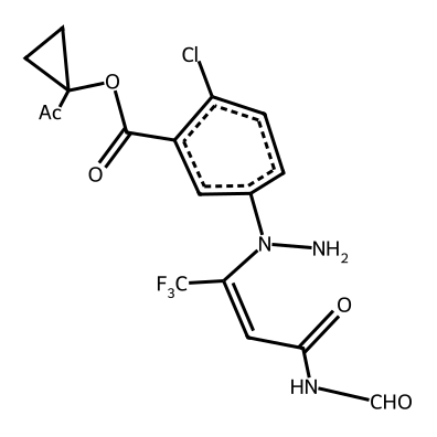 CC(=O)C1(OC(=O)c2cc(N(N)/C(=C\C(=O)NC=O)C(F)(F)F)ccc2Cl)CC1